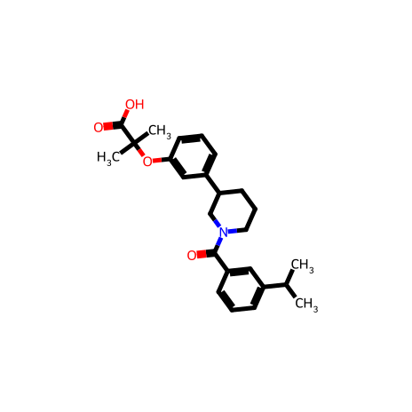 CC(C)c1cccc(C(=O)N2CCCC(c3cccc(OC(C)(C)C(=O)O)c3)C2)c1